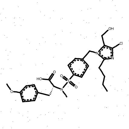 CCCCc1nc(Cl)c(CO)n1Cc1ccc(S(=O)(=O)N(C)[C@H](Cc2ccc(OC)cc2)C(=O)O)cc1